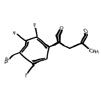 O=C(O)CC(=O)c1cc(F)c(Br)c(F)c1F